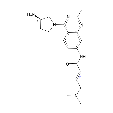 Cc1nc(N2CC[C@@H](N)C2)c2ccc(NC(=O)/C=C/CN(C)C)cc2n1